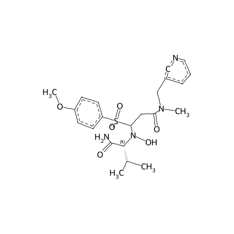 COc1ccc(S(=O)(=O)C(CC(=O)N(C)Cc2cccnc2)N(O)[C@@H](C(N)=O)C(C)C)cc1